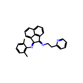 Cc1cccc(C)c1/N=C1/C(=N/CCc2ccccn2)c2cccc3cccc1c23